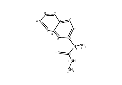 NNC(=O)N(N)c1ccc2ccncc2c1